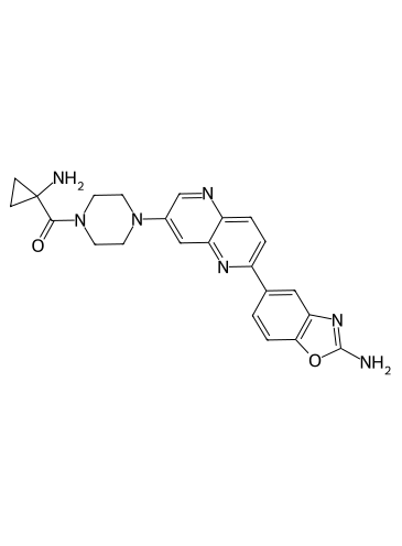 Nc1nc2cc(-c3ccc4ncc(N5CCN(C(=O)C6(N)CC6)CC5)cc4n3)ccc2o1